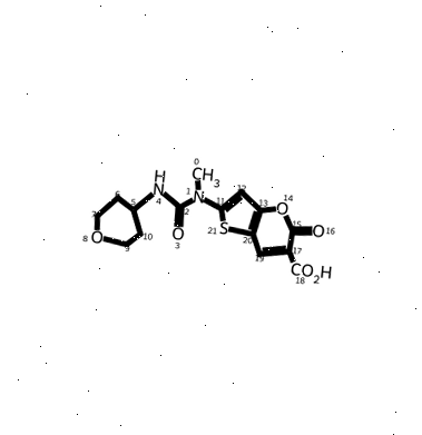 CN(C(=O)NC1CCOCC1)c1cc2oc(=O)c(C(=O)O)cc2s1